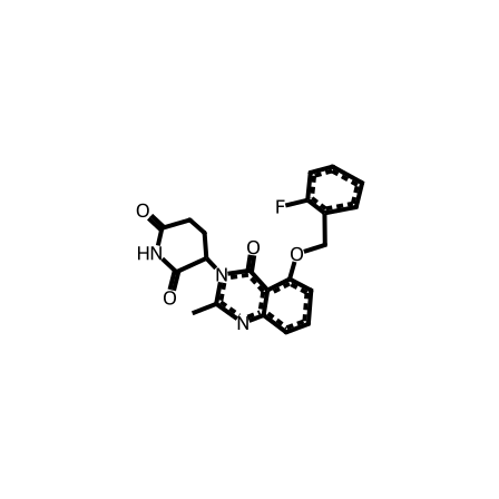 Cc1nc2cccc(OCc3ccccc3F)c2c(=O)n1C1CCC(=O)NC1=O